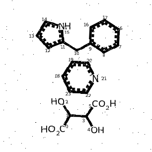 O=C(O)C(O)C(O)C(=O)O.c1ccc(Cc2ccc[nH]2)cc1.c1ccncc1